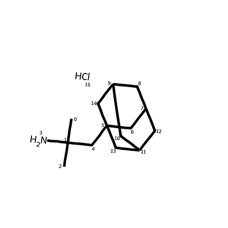 CC(C)(N)CC12CC3CC(CC(C3)C1)C2.Cl